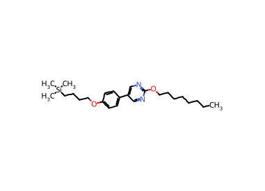 CCCCCCCCOc1ncc(-c2ccc(OCCCC[Si](C)(C)C)cc2)cn1